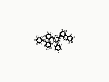 c1ccc(-c2cc(-c3cccc4c3sc3ccccc34)nc(-c3cccc4c3c3ccccc3n4-c3ccccc3)n2)cc1